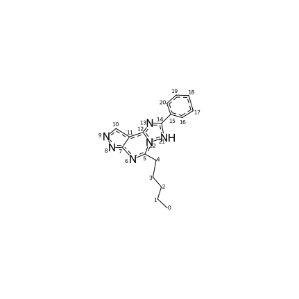 CCCCCc1nc2nncc-2c2nc(-c3ccccc3)[nH]n12